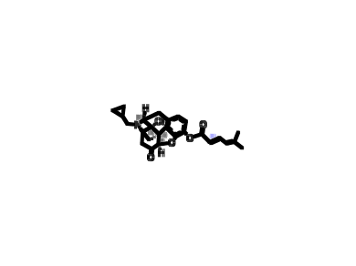 CC(C)=C/C=C/C(=O)Oc1ccc2c3c1O[C@H]1C(=O)CC45C[C@]31[C@]4(O)[C@@H](C2)N5CC1CC1